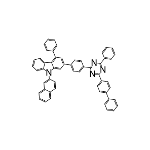 c1ccc(-c2ccc(-c3nc(-c4ccccc4)nc(-c4ccc(-c5cc(-c6ccccc6)c6c7ccccc7n(-c7ccc8ccccc8c7)c6c5)cc4)n3)cc2)cc1